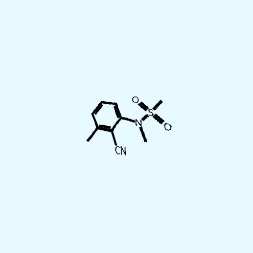 Cc1cccc(N(C)S(C)(=O)=O)c1C#N